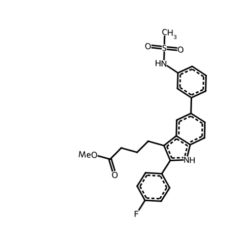 COC(=O)CCCc1c(-c2ccc(F)cc2)[nH]c2ccc(-c3cccc(NS(C)(=O)=O)c3)cc12